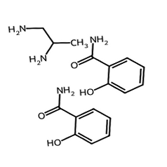 CC(N)CN.NC(=O)c1ccccc1O.NC(=O)c1ccccc1O